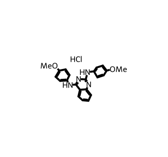 COc1ccc(Nc2nc(Nc3ccc(OC)cc3)c3ccccc3n2)cc1.Cl